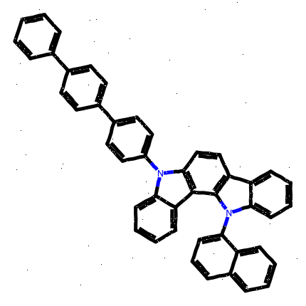 c1ccc(-c2ccc(-c3ccc(-n4c5ccccc5c5c4ccc4c6ccccc6n(-c6cccc7ccccc67)c45)cc3)cc2)cc1